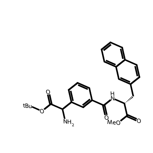 COC(=O)[C@@H](Cc1ccc2ccccc2c1)NC(=O)c1cccc(C(N)C(=O)OC(C)(C)C)c1